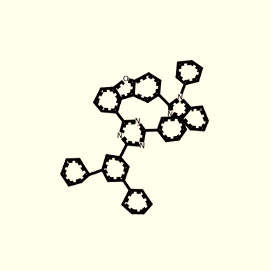 c1ccc(-c2cc(-c3ccccc3)cc(-c3nc(-c4ccccc4)nc(-c4cccc5oc6ccc(-c7nc8ccccc8n7-c7ccccc7)cc6c45)n3)c2)cc1